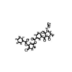 CCOCn1cc(F)c(=O)n(C(=O)c2cccc(C(=O)Oc3cc(OC(=O)c4ccccc4)c(Cl)cn3)c2)c1=O